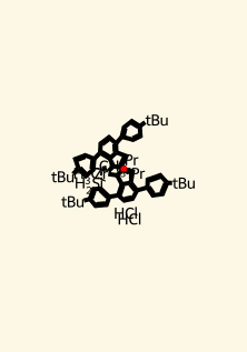 CC(C)C1=Cc2c(-c3ccc(C(C)(C)C)cc3)ccc(-c3ccc(C(C)(C)C)cc3)c2[CH]1[Zr]([CH3])([CH3])(=[SiH2])[CH]1C(C(C)C)=Cc2c(-c3ccc(C(C)(C)C)cc3)ccc(-c3ccc(C(C)(C)C)cc3)c21.Cl.Cl